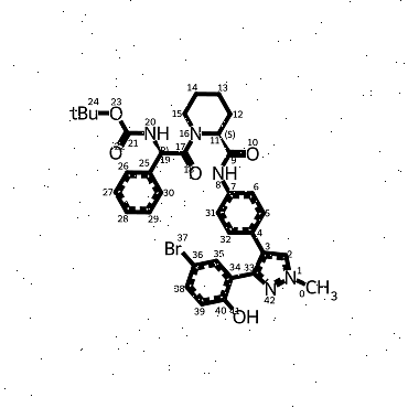 Cn1cc(-c2ccc(NC(=O)[C@@H]3CCCCN3C(=O)[C@H](NC(=O)OC(C)(C)C)c3ccccc3)cc2)c(-c2cc(Br)ccc2O)n1